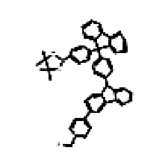 CC(C)Cc1ccc(-c2ccc3c(c2)-c2ccccc2C3c2ccc(C3(c4ccc(B5OC(C)(C)C(C)(C)O5)cc4)c4ccccc4-c4ccccc43)cc2)cc1